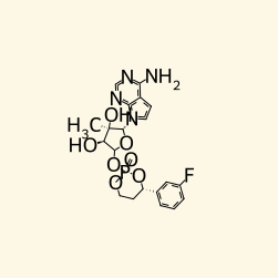 C[C@@]1(O)[C@H](O)C(OP2(=O)OCC[C@@H](c3cccc(F)c3)O2)O[C@H]1n1ccc2c(N)ncnc21